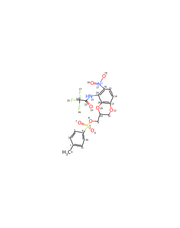 Cc1ccc(S(=O)(=O)OCC2COc3ccc([N+](=O)[O-])c(NC(=O)C(F)(F)F)c3O2)cc1